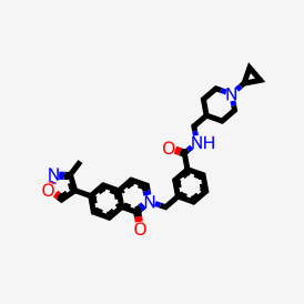 Cc1nocc1-c1ccc2c(=O)n(Cc3cccc(C(=O)NCC4CCN(C5CC5)CC4)c3)ccc2c1